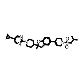 CC(C)CS(=O)(=O)N1CC=C(c2ccc3c(c2)CC(C)(C2CCN(c4ncc(C5CC5)cn4)CC2)O3)CC1